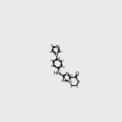 O=C1CCCn2nc(Nc3ccc(-n4ccnc4)cc3)nc21